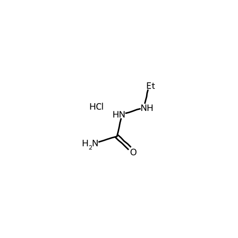 CCNNC(N)=O.Cl